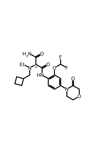 CCN(CC1CCC1)[C@@H](C(N)=O)C(=O)Nc1ccc(N2CCOCC2=O)cc1OC(F)F